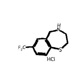 Cl.FC(F)(F)c1ccc2c(c1)CNCCS2